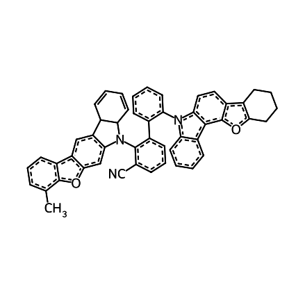 Cc1cccc2c1oc1cc3c(cc12)C1C=CC=CC1N3c1c(C#N)cccc1-c1ccccc1-n1c2ccccc2c2c3oc4c(c3ccc21)CCCC4